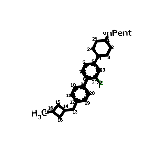 CCCCCC1CCC(c2ccc(-c3ccc(CC4CC(C)C4)cc3)c(F)c2)CC1